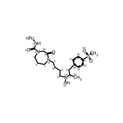 CCCNC(=O)N1CCCN(CCCCN(CCC)C(C)Cc2ccc(S(C)(=O)=O)cc2)C(=O)C1